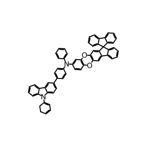 C1=CCCC(n2c3ccccc3c3cc(-c4ccc(N(c5ccccc5)c5ccc6c(c5)Oc5cc7c(cc5O6)-c5ccccc5C75c6ccccc6-c6ccccc65)cc4)ccc32)=C1